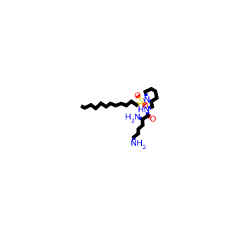 CCCCCCCCCCCCS(=O)(=O)N1CCCCC1CNC(=O)C(N)CCCCN